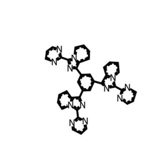 c1cnc(-c2nc(-c3cc(-c4nc(-c5ncccn5)n5ccccc45)cc(-c4nc(-c5ncccn5)n5ccccc45)c3)c3ccccn23)nc1